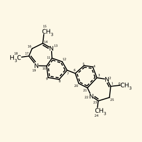 CC1=Nc2ccc(-c3ccc4c(c3)N=C(C)CC(C)=N4)cc2N=C(C)C1